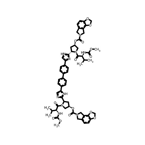 COC(=O)N[C@H](C(=O)N1C[C@H](OC(=O)N2Cc3ccc4c(c3C2)OCO4)CC1c1ncc(-c2ccc(-c3ccc(-c4c[nH]c([C@@H]5C[C@@H](OC(=O)N6Cc7ccc8c(c7C6)OCO8)CN5C(=O)[C@@H](NC(=O)OC)C(C)C)n4)cc3)cc2)[nH]1)C(C)C